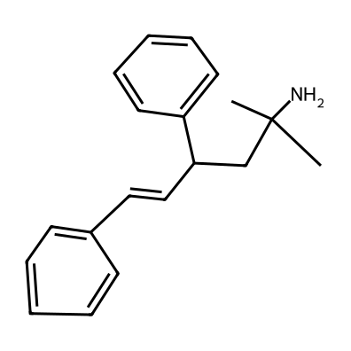 CC(C)(N)CC(C=Cc1ccccc1)c1ccccc1